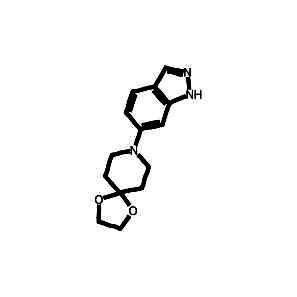 c1cc2cn[nH]c2cc1N1CCC2(CC1)OCCO2